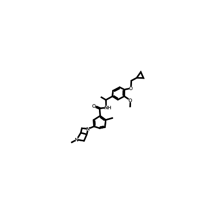 COc1cc(C(C)NC(=O)c2cc(N3CC4C3CN4C)ccc2C)ccc1OCC1CC1